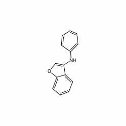 c1ccc(Nc2coc3ccccc23)cc1